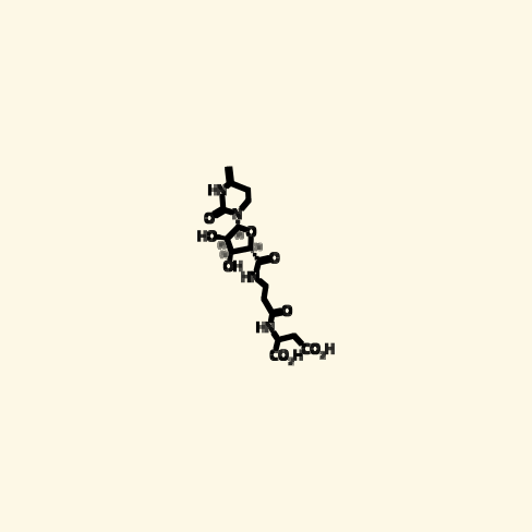 C=C1CCN([C@@H]2O[C@H](C(=O)NCCC(=O)NC(CC(=O)O)C(=O)O)[C@@H](O)[C@H]2O)C(=O)N1